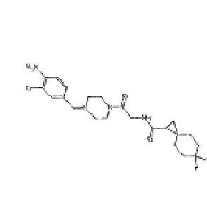 Nc1ccc(CN2CCN(C(=O)CNC(=O)C3CC34CCC(F)(F)CC4)CC2)cc1Cl